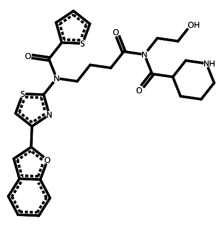 O=C(CCCN(C(=O)c1cccs1)c1nc(-c2cc3ccccc3o2)cs1)N(CCO)C(=O)C1CCCNC1